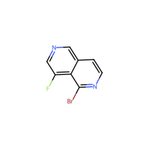 Fc1cncc2ccnc(Br)c12